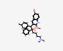 COc1nc2ccc(Br)cc2cc1C(C1=CCC(C)C=C1)C(O)(CCCCN(C)C)c1ccccc1